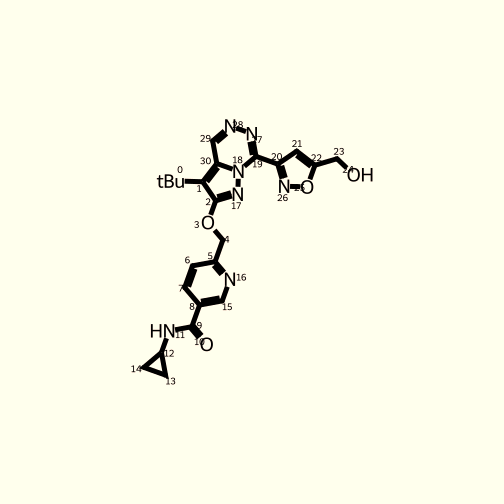 CC(C)(C)c1c(OCc2ccc(C(=O)NC3CC3)cn2)nn2c(-c3cc(CO)on3)nncc12